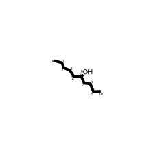 CCCC[CH]C(O)CCCC